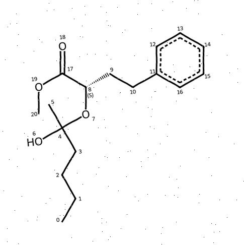 CCCCC(C)(O)O[C@@H](CCc1ccccc1)C(=O)OC